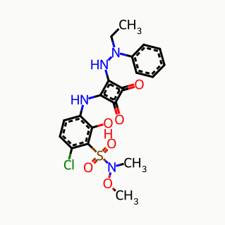 CCN(Nc1c(Nc2ccc(Cl)c(S(=O)(=O)N(C)OC)c2O)c(=O)c1=O)c1ccccc1